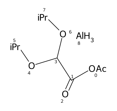 CC(=O)OC(=O)C(OC(C)C)OC(C)C.[AlH3]